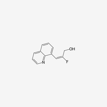 OC/C(F)=C\c1cccc2cccnc12